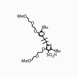 COCCOCCOc1cc(C(C)(C)C(C)(C)c2sc(C(C)(C)C)c(S(=O)(=O)O)c2OCCOCCOC)sc1C(C)(C)C